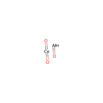 [O]=[AlH].[O]=[Ce]=[O]